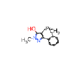 Cc1ccccc1-c1nn(C)c(O)c1C(C)C